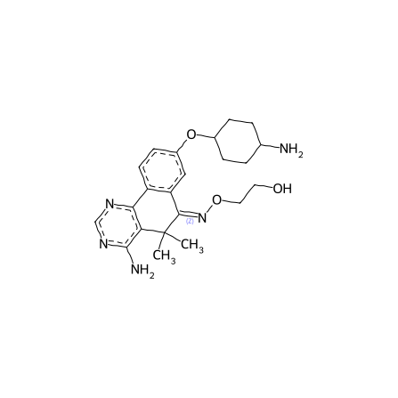 CC1(C)/C(=N/OCCO)c2cc(OC3CCC(N)CC3)ccc2-c2ncnc(N)c21